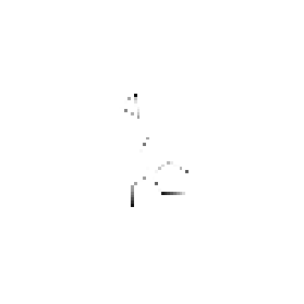 CC[Si](CC)(CC)OC[C@H]1CO1